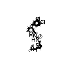 CN(C)Cc1ccc(CNC(=O)NCC2CN(Cc3ccc(Cl)c(Cl)c3)CCO2)s1